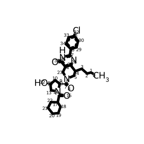 CCCCC1CN(C(=O)[C@@H]2C[C@@H](O)CN2C(=O)C2CCCCC2)Cc2c1nc(-c1ccc(Cl)cc1)[nH]c2=O